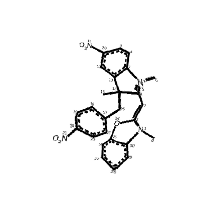 CN1/C(=C/C2=[N+](C)c3ccc([N+](=O)[O-])cc3C2(C)Cc2ccc([N+](=O)[O-])cc2)Oc2ccccc21